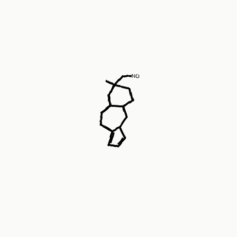 CC1(CN=O)CCC2CC3C=CC=C3CCC2C1